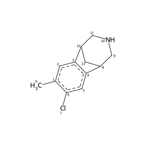 Cc1cc2c(cc1Cl)C1CNCC2C1